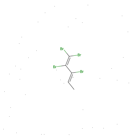 CC=C(Br)C(Br)=C(Br)Br